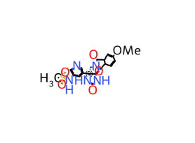 COC1=CC2C(=O)N(C[C@@]3(c4cncc(NS(C)(=O)=O)c4)NC(=O)NC3=O)CC2C=C1